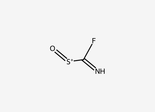 N=C(F)[S+]=O